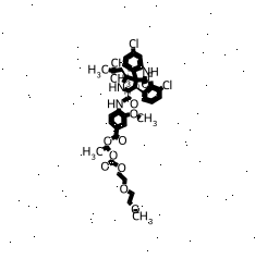 COCCOCCOC(=O)OC(C)OC(=O)c1ccc(NC(=O)[C@@H]2N[C@@H](CC(C)(C)C)C3(C(=O)Nc4cc(Cl)ccc43)[C@H]2c2cccc(Cl)c2F)c(OC)c1